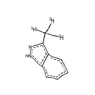 [2H]C([2H])([2H])c1n[nH]c2ccccc12